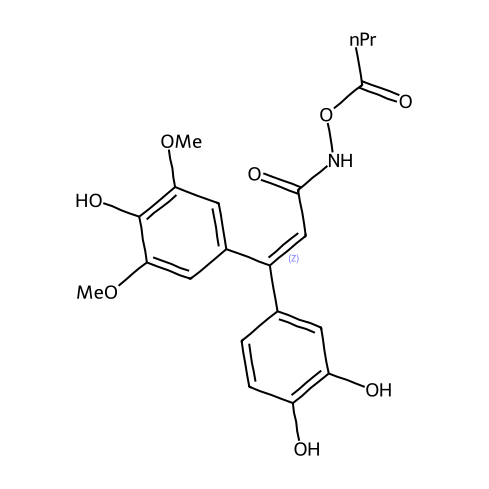 CCCC(=O)ONC(=O)/C=C(/c1ccc(O)c(O)c1)c1cc(OC)c(O)c(OC)c1